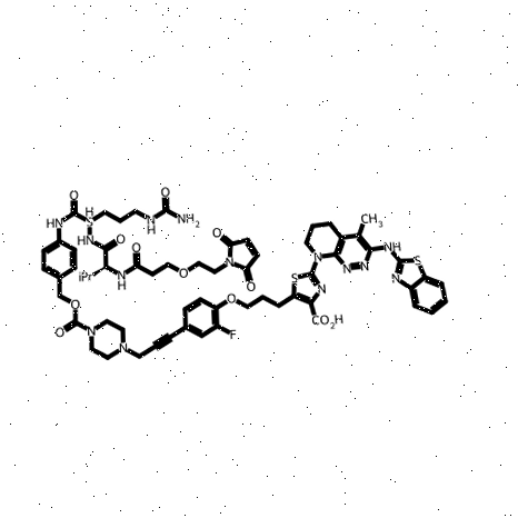 Cc1c(Nc2nc3ccccc3s2)nnc2c1CCCN2c1nc(C(=O)O)c(CCCOc2ccc(C#CCN3CCN(C(=O)OCc4ccc(NC(=O)[SH](CCCNC(N)=O)NC(=O)[C@@H](NC(=O)CCOCCN5C(=O)C=CC5=O)C(C)C)cc4)CC3)cc2F)s1